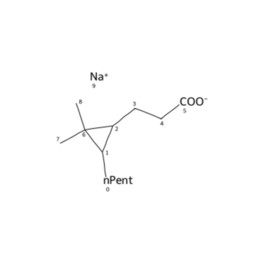 CCCCCC1C(CCC(=O)[O-])C1(C)C.[Na+]